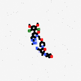 CNc1ncc2cc(-c3c(Cl)c(OC)cc(OC)c3Cl)c(=O)n(CCOC3CCN(C(=O)/C(C#N)=C\C(C)(C)N4CC5(COC5)C4)CC3)c2n1